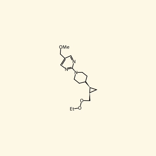 CCOOC[C@@H]1C[C@@H]1C1CCN(c2ncc(COC)cn2)CC1